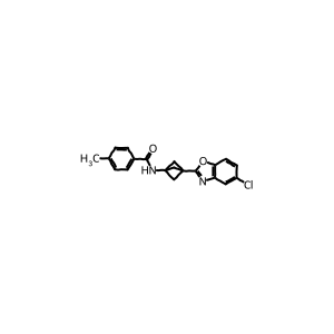 Cc1ccc(C(=O)NC23CC(c4nc5cc(Cl)ccc5o4)(C2)C3)cc1